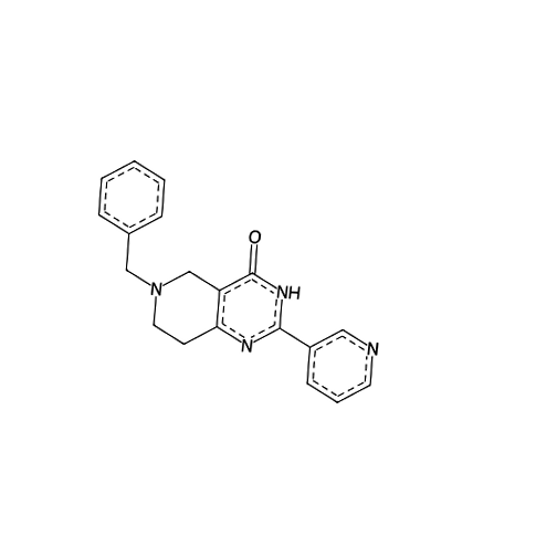 O=c1[nH]c(-c2cccnc2)nc2c1CN(Cc1ccccc1)CC2